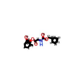 CC1(C)C2CCC1(C)C(OC(=O)CNC(=O)OCc1ccccc1)C2=O